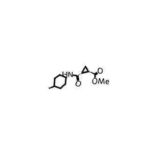 COC(=O)[C@@H]1C[C@H]1C(=O)NC1CCC(C)CC1